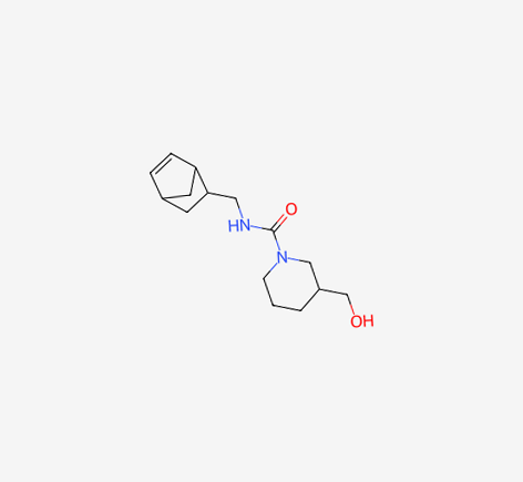 O=C(NCC1CC2C=CC1C2)N1CCCC(CO)C1